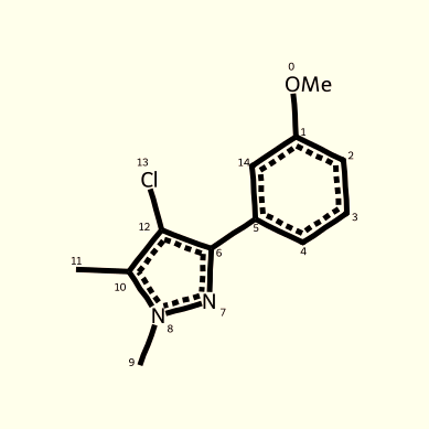 COc1cccc(-c2nn(C)c(C)c2Cl)c1